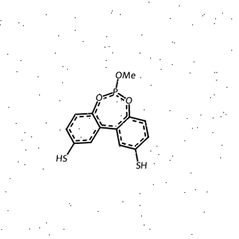 COp1oc2ccc(S)cc2c2cc(S)ccc2o1